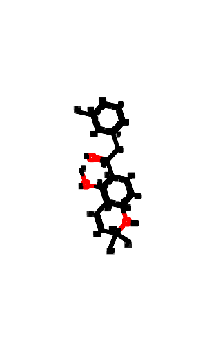 COc1c(C(=O)Cc2cccc(C)c2)ccc2c1C=CC(C)(C)O2